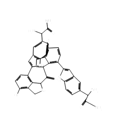 NC(=O)C(N)c1ccc2[nH]c(-c3ccc(Cl)c4c3C(C(=O)C3NCc5c(Cl)ccc(-c6cc7cc(C(N)C(N)=O)ccc7[nH]6)c53)NC4)cc2c1